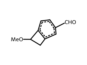 COC1Cc2cc(C=O)ccc21